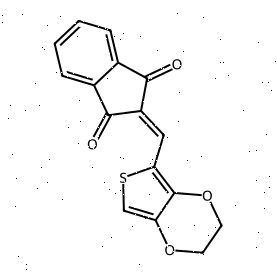 O=C1C(=Cc2scc3c2OCCO3)C(=O)c2ccccc21